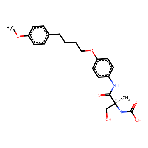 COc1ccc(CCCCOc2ccc(NC(=O)[C@](C)(CO)NC(=O)O)cc2)cc1